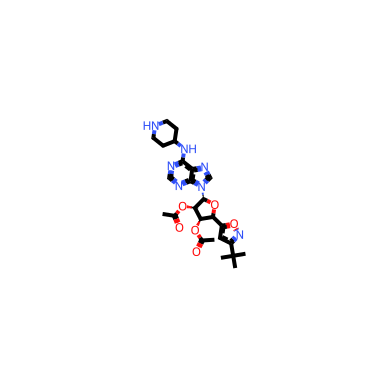 CC(=O)O[C@@H]1[C@H](OC(C)=O)C(c2cc(C(C)(C)C)no2)O[C@H]1n1cnc2c(NC3CCNCC3)ncnc21